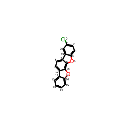 Clc1ccc2oc3c(ccc4c5ccccc5oc43)c2c1